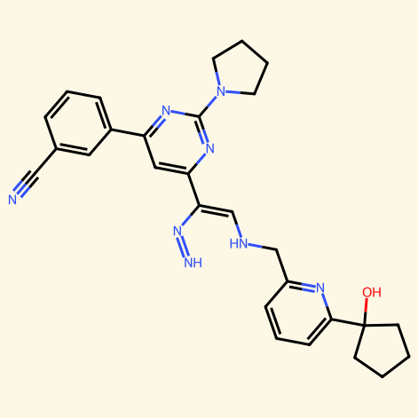 N#Cc1cccc(-c2cc(/C(=C/NCc3cccc(C4(O)CCCC4)n3)N=N)nc(N3CCCC3)n2)c1